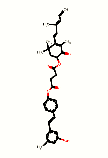 C=C/C=C(C)/C=C/C1=C(C)C(=O)C(OC(=O)CCC(=O)Oc2ccc(/C=C/c3cc(C)cc(O)c3)cc2)CC1(C)C